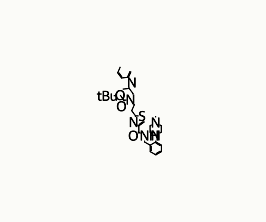 C=C(/C=C\C)/N=C(\C)CN(CCc1nc(C(=O)NCc2ccccc2N2CCN(C)CC2)cs1)C(=O)OC(C)(C)C